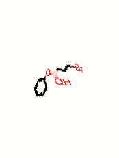 OB(CCCBr)Oc1ccccc1